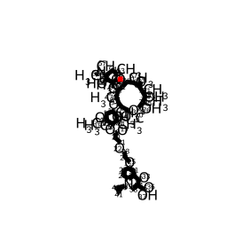 CC[C@@H]1OC(=O)[C@H](C)[C@H](O[C@@H]2C[C@@](C)(OC)[C@H](OC(=O)CCOCCOc3ccc4c(c3)c(=O)c(C(=O)O)cn4C3CC3)[C@H](C)O2)[C@@H](C)[C@H](O[C@@H]2O[C@H](C)C[C@H](N(C)C)[C@@H]2O)C(C)(OC)C[C@H](C)C(=O)[C@H](C)[C@@H](O)C1(C)O